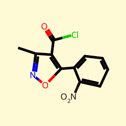 Cc1noc(-c2ccccc2[N+](=O)[O-])c1C(=O)Cl